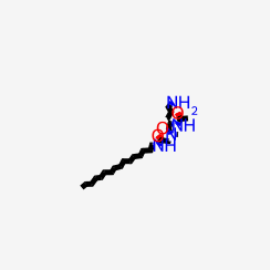 CCCCCCCCCCCCCCCCNC(=O)CN(C)C(=O)[C@@H](CCCN)NC(C)=O